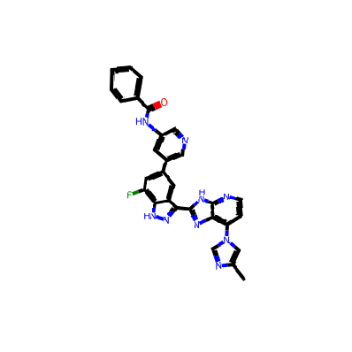 Cc1cn(-c2ccnc3[nH]c(-c4n[nH]c5c(F)cc(-c6cncc(NC(=O)c7ccccc7)c6)cc45)nc23)cn1